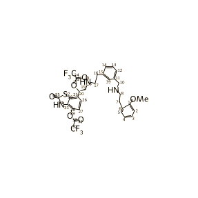 COc1ccccc1CCNCc1cccc(CCNC[C@H](OC(=O)C(F)(F)F)c2ccc(OC(=O)C(F)(F)F)c3[nH]c(=O)sc23)c1